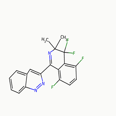 CC1(C)N=C(c2cc3ccccc3nn2)c2c(F)ccc(F)c2C1(F)F